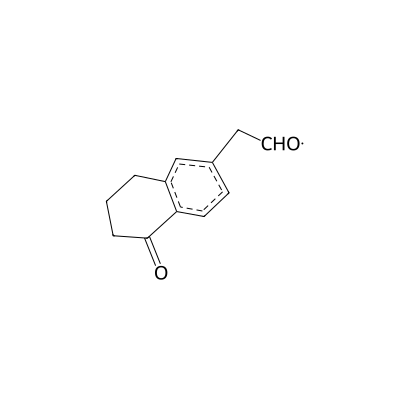 O=[C]Cc1ccc2c(c1)CCCC2=O